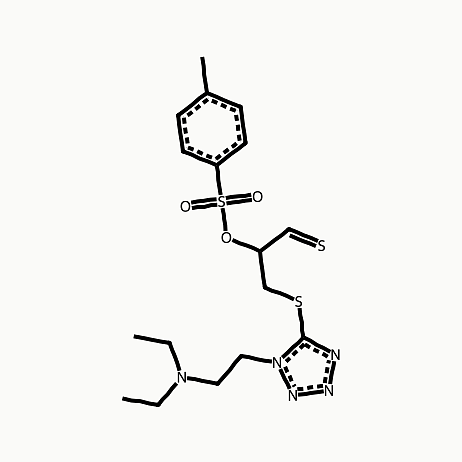 CCN(CC)CCn1nnnc1SCC(C=S)OS(=O)(=O)c1ccc(C)cc1